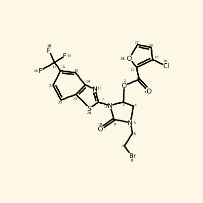 O=C(OC1CN(CCBr)C(=O)N1c1nc2cc(C(F)(F)F)ccc2s1)c1occc1Cl